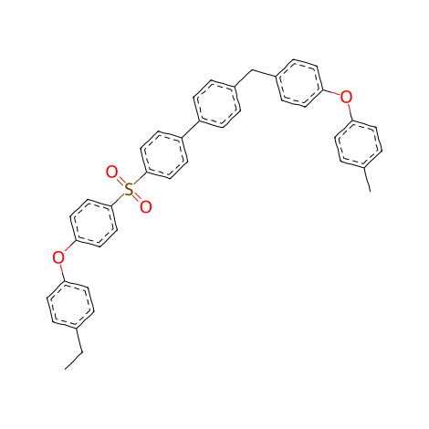 CCc1ccc(Oc2ccc(S(=O)(=O)c3ccc(-c4ccc(Cc5ccc(Oc6ccc(C)cc6)cc5)cc4)cc3)cc2)cc1